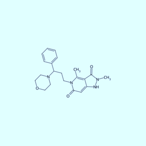 Cc1c2c(=O)n(C)[nH]c2cc(=O)n1CCC(c1ccccc1)N1CCOCC1